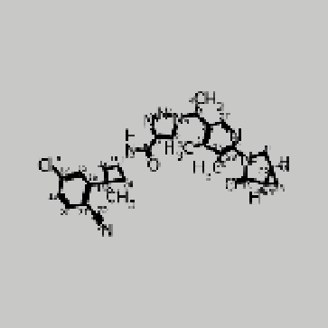 Cc1c([C@H](C)n2cc(C(=O)N[C@H]3C[C@@](C)(c4cc(Cl)ccc4C#N)C3)nn2)cnc(N2C[C@H]3C[C@H]3C2=O)c1C